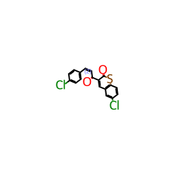 O=C(/C=C\c1ccc(Cl)cc1)c1cc2cc(Cl)ccc2sc1=O